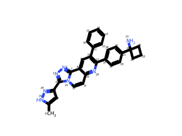 Cc1cc(-c2nnc3c4cc(-c5ccccc5)c(-c5ccc(C6(N)CCC6)cc5)nc4ccn23)n[nH]1